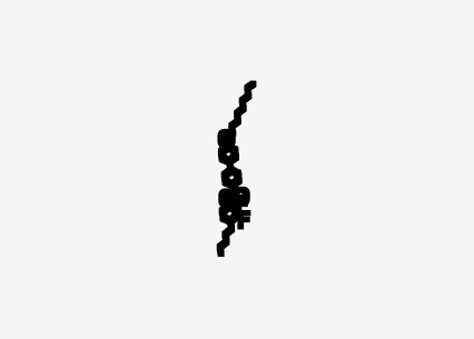 CCCCCCCCCOc1ccc(-c2ccc(C(=O)Oc3ccc(CCCCC)c(F)c3F)cc2)cc1